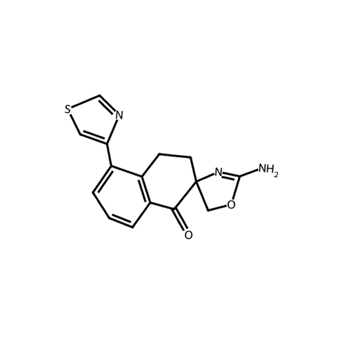 NC1=NC2(CCc3c(cccc3-c3cscn3)C2=O)CO1